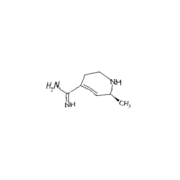 C[C@H]1C=C(C(=N)N)CCN1